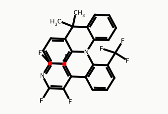 CC1(C)c2ccccc2N(c2c(-c3c(F)c(F)nc(F)c3F)cccc2C(F)(F)F)c2ccccc21